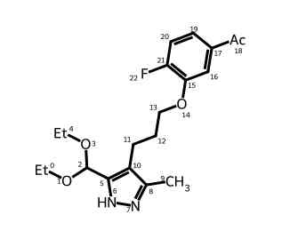 CCOC(OCC)c1[nH]nc(C)c1CCCOc1cc(C(C)=O)ccc1F